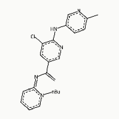 C=C(/N=c1/ccccn1CCCC)c1cnc(Nc2ccc(C)nc2)c(Cl)c1